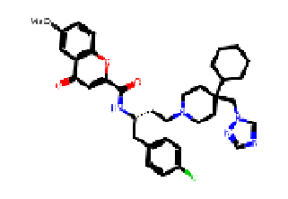 COc1ccc2oc(C(=O)N[C@H](CCN3CCC(Cn4cncn4)(C4CCCCC4)CC3)Cc3ccc(Cl)cc3)cc(=O)c2c1